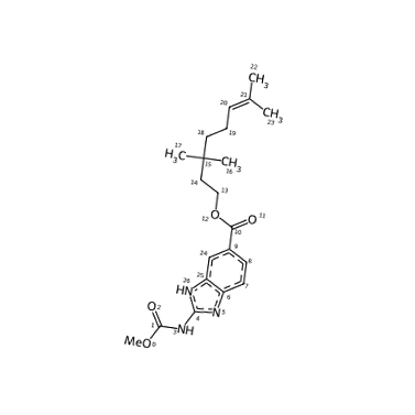 COC(=O)Nc1nc2ccc(C(=O)OCCC(C)(C)CCC=C(C)C)cc2[nH]1